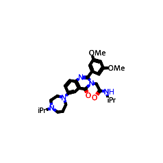 COc1cc(OC)cc(-c2nc3ccc(N4CCCN(C(C)C)CC4)cc3c(=O)n2CC(=O)NC(C)C)c1